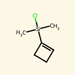 C[Si](C)(Cl)C1=CCC1